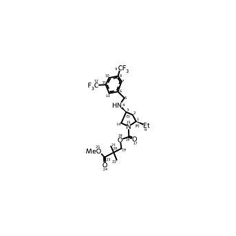 CC[C@@H]1C[C@H](NCc2cc(C(F)(F)F)cc(C(F)(F)F)c2)CN1C(=O)OCC(C)(C)C(=O)OC